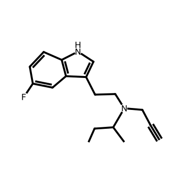 C#CCN(CCc1c[nH]c2ccc(F)cc12)C(C)CC